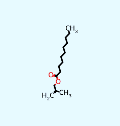 C=C(C)COC(=O)CCCCCCCCCC